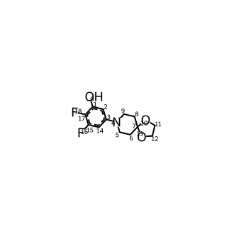 Oc1cc(N2CCC3(CC2)OCCO3)cc(F)c1F